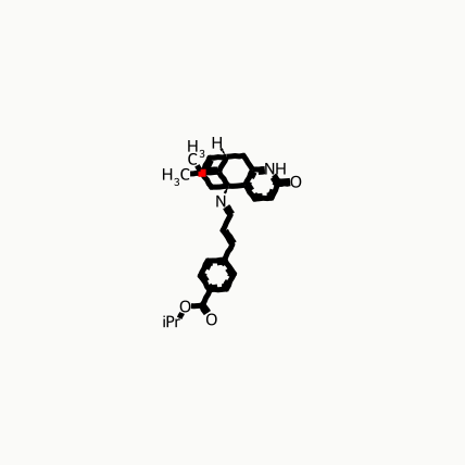 C/C=C1\[C@H]2C=C(C)C[C@]1(/N=C/C=C/c1ccc(C(=O)OC(C)C)cc1)c1ccc(=O)[nH]c1C2